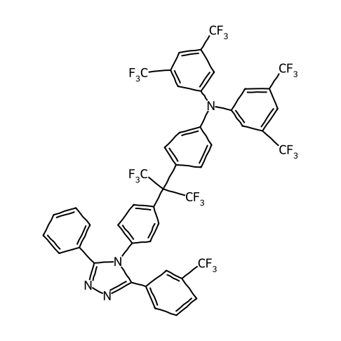 FC(F)(F)c1cccc(-c2nnc(-c3ccccc3)n2-c2ccc(C(c3ccc(N(c4cc(C(F)(F)F)cc(C(F)(F)F)c4)c4cc(C(F)(F)F)cc(C(F)(F)F)c4)cc3)(C(F)(F)F)C(F)(F)F)cc2)c1